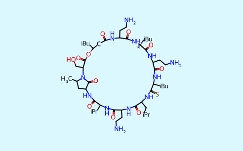 CCC(C)C1CC(=O)NC(CCN)C(=O)N[C@@H](C(C)CC)C(=O)NC(CCN)C(=O)NC(C(C)CC)C(=S)NC(CC(C)C)C(=O)NC(CCN)C(=O)NC(C(C)C)C(=O)NC2CC(C)N(C2=O)C(CO)C(=O)O1